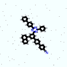 N#Cc1ccc(-c2ccc(-c3cc(-c4nc(-c5ccccc5)nc(-c5ccc(-c6ccccc6)cc5)n4)cc(-c4cccc5ccccc45)c3)cc2)cc1